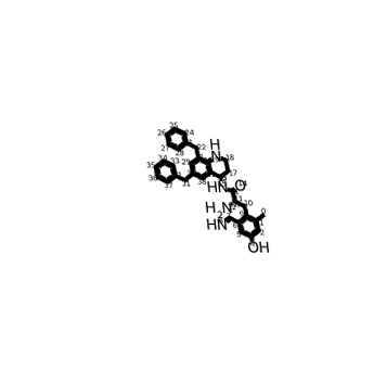 Cc1cc(O)cc(C=N)c1C[C@H](N)C(=O)N[C@@H]1CCNc2c(Cc3ccccc3)cc(Cc3ccccc3)cc21